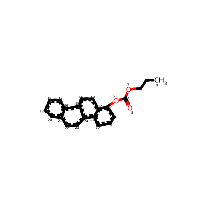 CCCOC(=O)Oc1cccc2c1ccc1c3ccccc3ccc21